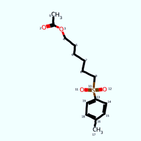 CC(=O)OCCCCCCS(=O)(=O)c1ccc(C)cc1